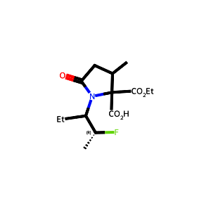 CCOC(=O)C1(C(=O)O)C(C)CC(=O)N1C(CC)[C@@H](C)F